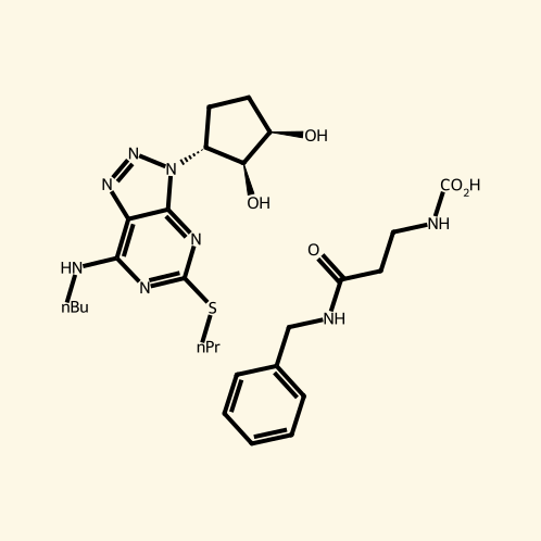 CCCCNc1nc(SCCC)nc2c1nnn2[C@@H]1CC[C@@H](O)[C@H]1O.O=C(O)NCCC(=O)NCc1ccccc1